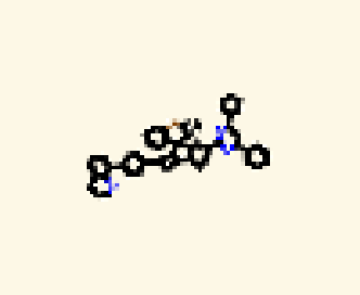 c1ccc(-c2cc(-c3ccccc3)nc(-c3ccc4c(c3)C3(c5ccccc5Sc5ccccc53)c3cc(-c5ccc(-c6cccc7cccnc67)cc5)ccc3-4)n2)cc1